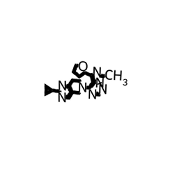 Cc1nc(C2CCCO2)c2c(N3CCc4nc(C5CC5)ncc4C3)ncnn12